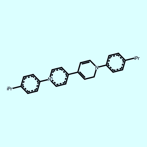 CC(C)c1ccc(N2C=CC(c3cc[n+](-c4ccc(C(C)C)cc4)cc3)=CC2)cc1